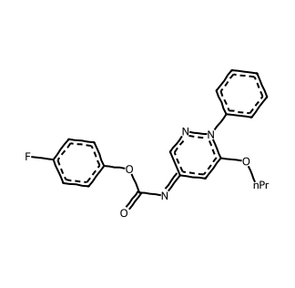 CCCOc1cc(=NC(=O)Oc2ccc(F)cc2)cnn1-c1ccccc1